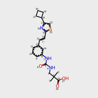 CC(C)(CNC(=O)Nc1cccc(/C=C/c2nc(C3CCC3)cs2)c1)C(=O)O